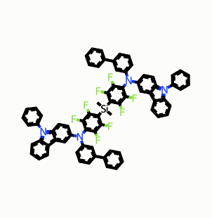 C[Si](C)(c1c(F)c(F)c(N(c2cccc(-c3ccccc3)c2)c2ccc3c(c2)c2ccccc2n3-c2ccccc2)c(F)c1F)c1c(F)c(F)c(N(c2cccc(-c3ccccc3)c2)c2ccc3c(c2)c2ccccc2n3-c2ccccc2)c(F)c1F